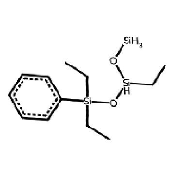 CC[SiH](O[SiH3])O[Si](CC)(CC)c1ccccc1